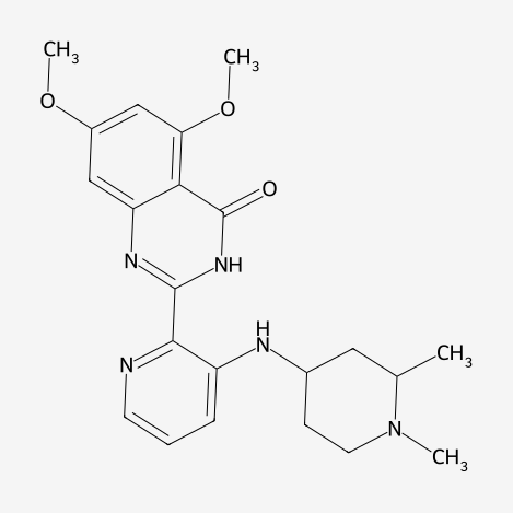 COc1cc(OC)c2c(=O)[nH]c(-c3ncccc3NC3CCN(C)C(C)C3)nc2c1